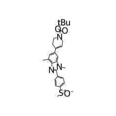 Cc1cc(C2=CCN(C(=O)OC(C)(C)C)CC2)cc2c1nc(-c1ccc([S+](C)[O-])cc1)n2C